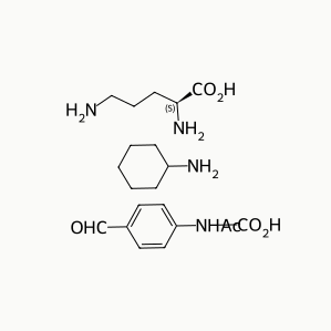 CC(=O)Nc1ccc(C=O)cc1.CC(=O)O.NC1CCCCC1.NCCC[C@H](N)C(=O)O